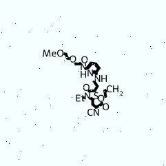 C=CCOC(=O)C(C#N)CC1SC(CCNc2cccc(NC(=O)COCCOC)n2)C(=O)N1CC